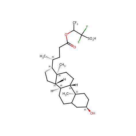 C[C@H](CCC(=O)OC(C(F)(F)F)C(F)(F)S(=O)(=O)O)[C@H]1CC[C@H]2[C@@H]3CCC4C[C@H](O)CC[C@]4(C)[C@H]3CC[C@]12C